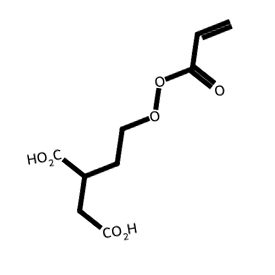 C=CC(=O)OOCCC(CC(=O)O)C(=O)O